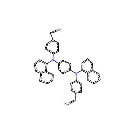 C=Cc1ccc(N(c2ccc(N(c3ccc(C=C)cc3)c3cccc4ccccc34)cc2)c2cccc3ccccc23)cc1